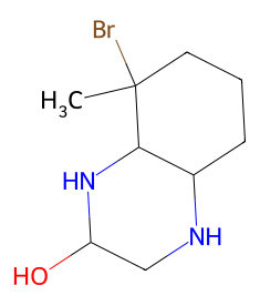 CC1(Br)CCCC2NCC(O)NC21